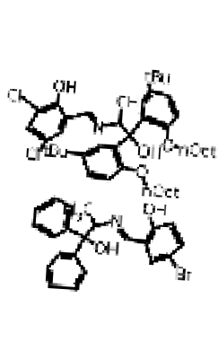 CC(N=Cc1cc(Br)ccc1O)C(O)(c1ccccc1)c1ccccc1.CCCCCCCCOc1ccc(C(C)(C)C)cc1C(O)(c1cc(C(C)(C)C)ccc1OCCCCCCCC)C(C)N=Cc1cc(Cl)cc(Cl)c1O